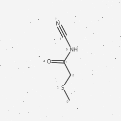 CSCC(=O)NC#N